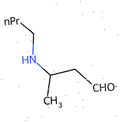 CCCCNC(C)C[C]=O